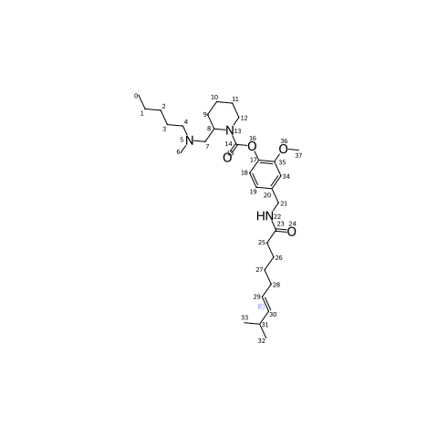 CCCCCN(C)CC1CCCCN1C(=O)Oc1ccc(CNC(=O)CCCC/C=C/C(C)C)cc1OC